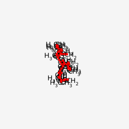 C=CCOC(=O)Nc1cc(OCCCOc2cc(NC(=O)OCc3ccc(NC(=O)[C@H](C)NC(=O)[C@@H](NC(=O)OCC=C)C(C)C)cc3)c(C(=O)N3CC(=C)C[C@H]3CO[Si](C)(C)C(C)(C)C)cc2OC)c(OC)cc1C(=O)N1CC(=C)C[C@H]1CO[Si](C)(C)C(C)(C)C